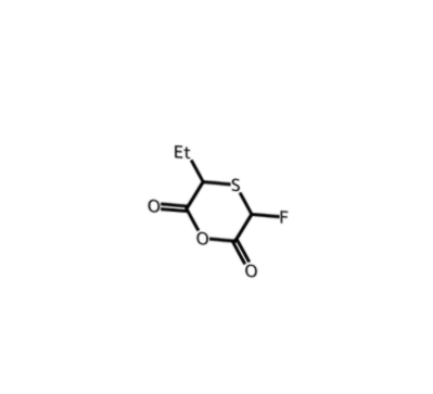 CCC1SC(F)C(=O)OC1=O